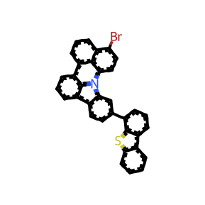 Brc1ccc2c3c1cccc3c1cccc3c4ccc(-c5cccc6c5sc5ccccc56)cc4n2c13